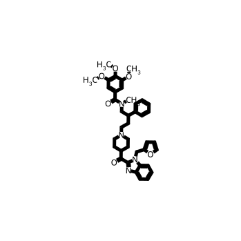 COc1cc(C(=O)N(C)CC(CCN2CCC(C(=O)c3nc4ccccc4n3Cc3ccco3)CC2)c2ccccc2)cc(OC)c1OC